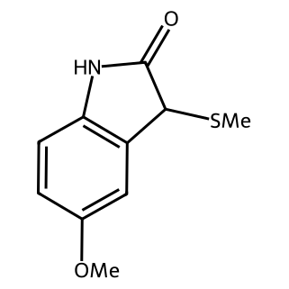 COc1ccc2c(c1)C(SC)C(=O)N2